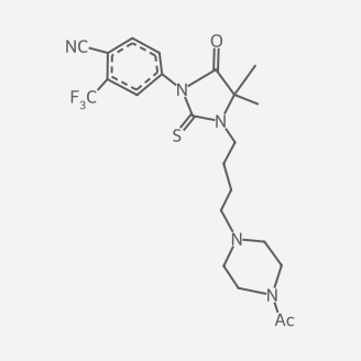 CC(=O)N1CCN(CCCCN2C(=S)N(c3ccc(C#N)c(C(F)(F)F)c3)C(=O)C2(C)C)CC1